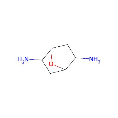 NC1CC2OC1CC2N